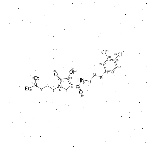 CCN(CC)CCCN1CC(C(=O)NCCCc2ccc(Cl)c(Cl)c2)=C(O)C1=O